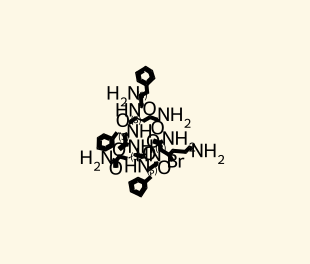 NCCCC(Br)[C@H](NC(=O)[C@H](Cc1ccccc1)NC(=O)[C@H](CCC(N)=O)NC(=O)[C@H](Cc1ccccc1)NC(=O)[C@H](CCC(N)=O)NC(=O)[C@@H](N)Cc1ccccc1)C(N)=O